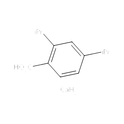 CC(C)c1ccc(C(=O)O)c(C(C)C)c1.[CaH2]